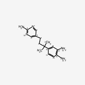 CC(C)(CCc1cnc(N)nc1)c1ccc(N)c(N)c1